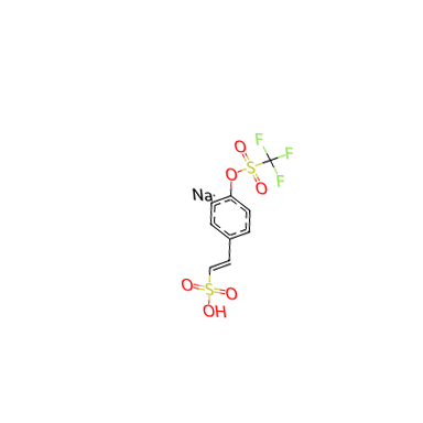 O=S(=O)(O)C=Cc1ccc(OS(=O)(=O)C(F)(F)F)cc1.[Na]